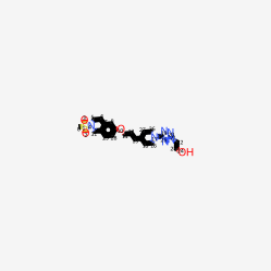 CS(=O)(=O)N1CCc2cc(OCCCC3CCN(c4nnn(CCO)n4)CC3)ccc2C1